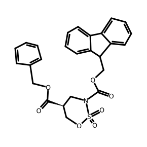 O=C(OCc1ccccc1)[C@@H]1COS(=O)(=O)N(C(=O)OCC2c3ccccc3-c3ccccc32)C1